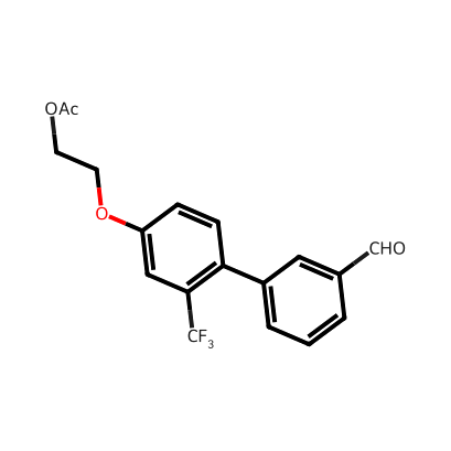 CC(=O)OCCOc1ccc(-c2cccc(C=O)c2)c(C(F)(F)F)c1